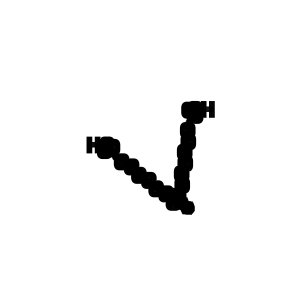 O=S(=O)(O)CCCCOCCOCCOCCOCCOCCOCCOc1cc2ccccc2cc1OCCOCCOCCOCCOCCOCCOCCCCS(=O)(=O)O